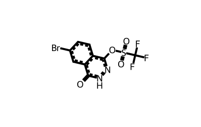 O=c1[nH]nc(OS(=O)(=O)C(F)(F)F)c2ccc(Br)cc12